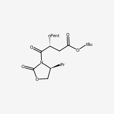 CCCCC[C@H](CC(=O)OC(C)(C)C)C(=O)N1C(=O)OC[C@@H]1C(C)C